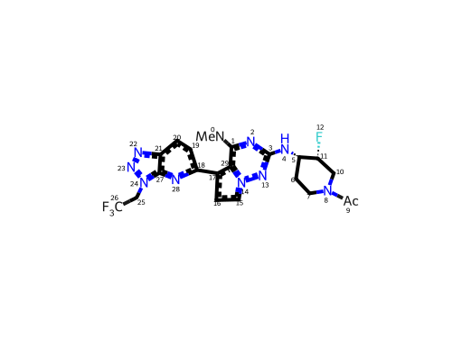 CNc1nc(N[C@H]2CCN(C(C)=O)C[C@H]2F)nn2ccc(-c3ccc4nnn(CC(F)(F)F)c4n3)c12